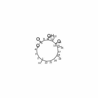 CC1CCCOC(=O)CC(O)C(C)C(=O)C(C)CC(C)CCC1